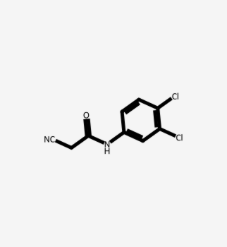 N#CCC(=O)Nc1ccc(Cl)c(Cl)c1